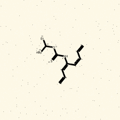 C=C/C=C\C(=C/C=C)NC(=S)OC(CC)CCCC